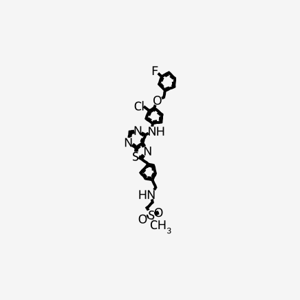 CS(=O)(=O)CCNCc1ccc(-c2nc3c(Nc4ccc(OCc5cccc(F)c5)c(Cl)c4)ncnc3s2)cc1